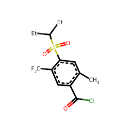 CCC(CC)S(=O)(=O)c1cc(C)c(C(=O)Cl)cc1C(F)(F)F